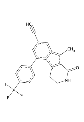 C#Cc1cc(-c2ccc(C(F)(F)F)cc2)c2c(c1)c(C)c1n2CCNC1=O